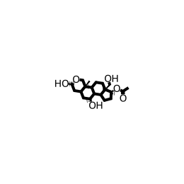 CC(=O)O[C@H]1CCC2C3C(CC[C@@]21CO)[C@@]1(C)CO[C@H](O)CC1C[C@@H]3O